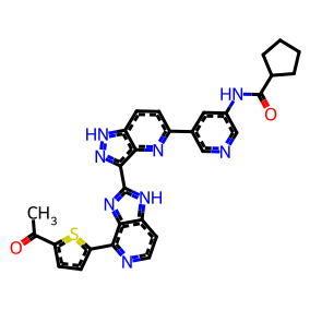 CC(=O)c1ccc(-c2nccc3[nH]c(-c4n[nH]c5ccc(-c6cncc(NC(=O)C7CCCC7)c6)nc45)nc23)s1